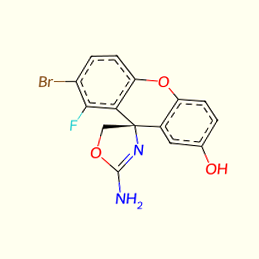 NC1=N[C@@]2(CO1)c1cc(O)ccc1Oc1ccc(Br)c(F)c12